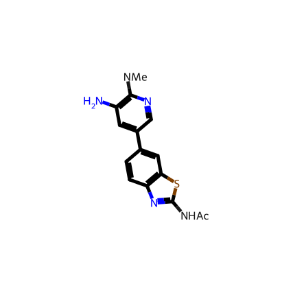 CNc1ncc(-c2ccc3nc(NC(C)=O)sc3c2)cc1N